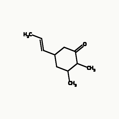 CC=CC1CC(=O)C(C)C(C)C1